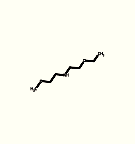 CCOCCNCCOC